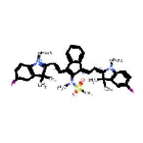 CCCCCN1/C(=C/C=C2C(N(C)S(=O)(=O)C(F)(F)F)=C(/C=C/C3=[N+](CCCCC)c4ccc(I)cc4C3(C)C)c3ccccc3/2)C(C)(C)c2cc(I)ccc21